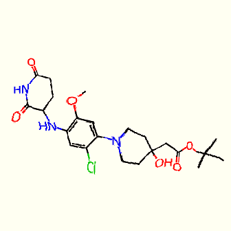 COc1cc(N2CCC(O)(CC(=O)OC(C)(C)C)CC2)c(Cl)cc1NC1CCC(=O)NC1=O